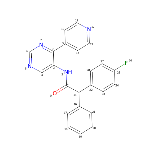 O=C(Nc1cncnc1-c1ccncc1)C(c1ccccc1)c1ccc(F)cc1